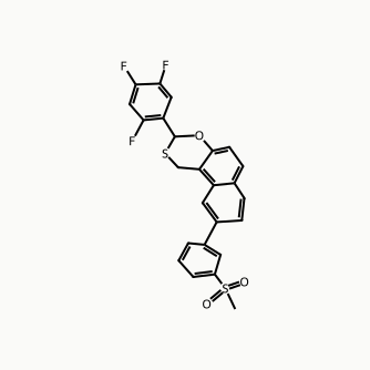 CS(=O)(=O)c1cccc(-c2ccc3ccc4c(c3c2)CSC(c2cc(F)c(F)cc2F)O4)c1